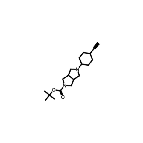 C#CC1CCC(N2CC3CN(C(=O)OC(C)(C)C)CC3C2)CC1